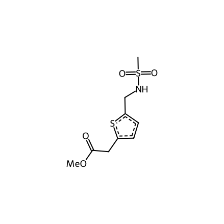 COC(=O)Cc1ccc(CNS(C)(=O)=O)s1